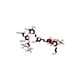 C=C1C[C@H](CC[C@@]23C[C@@H]4O[C@H]5[C@H](O[C@@H](CCCO)[C@H](O[Si](CC)(CC)CC)[C@H]5O2)[C@H]4O3)O[C@H]1CC[C@H]1C[C@@H](C)C(=C)[C@@H](C[C@@H]2O[C@H](C[C@@H](CO[Si](CC)(CC)CC)O[Si](CC)(CC)CC)[C@H](OC)[C@H]2CC(=O)OC)O1